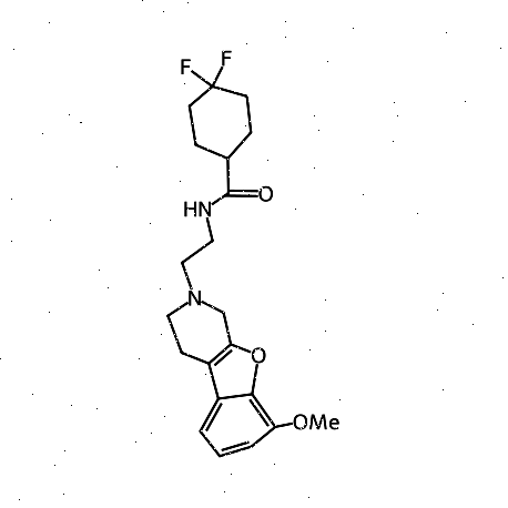 COc1cccc2c3c(oc12)CN(CCNC(=O)C1CCC(F)(F)CC1)CC3